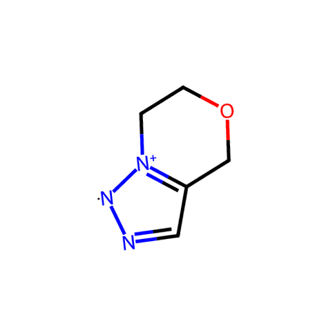 C1=N[N][N+]2=C1COCC2